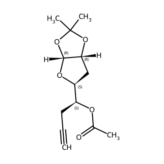 C#CC[C@H](OC(C)=O)[C@@H]1C[C@H]2OC(C)(C)O[C@H]2O1